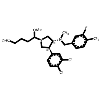 COC(CCCC=O)N1C[C@H](c2ccc(Cl)c(Cl)c2)[C@@H](N(C)Cc2ccc(C(F)(F)F)c(F)c2)C1